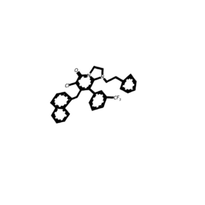 O=c1c(Cl)c(Cc2cccc3ccccc23)c(-c2cccc(C(F)(F)F)c2)c2n1CCN2CCc1ccccc1